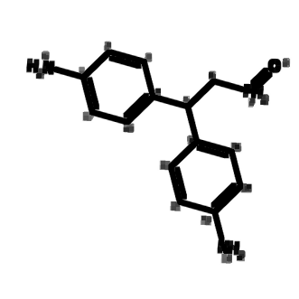 Nc1ccc(C(C[PH2]=O)c2ccc(N)cc2)cc1